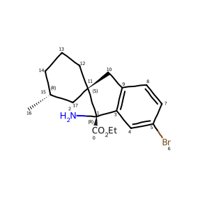 CCOC(=O)[C@]1(N)c2cc(Br)ccc2C[C@@]12CCC[C@@H](C)C2